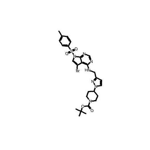 Cc1ccc(S(=O)(=O)n2cc(Br)c3c(NCc4ccn(C5CCN(C(=O)OC(C)(C)C)CC5)n4)ncnc32)cc1